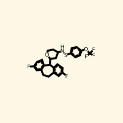 Fc1ccc2c(c1)CCc1cc(F)ccc1C2C1CC(NSc2ccc(OC(F)(F)F)cc2)CCO1